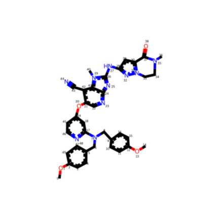 COc1ccc(CN(Cc2ccc(OC)cc2)c2cc(Oc3cnc4nc(Nc5cc6n(n5)CCN(C)C6=O)n(C)c4c3C#N)ccn2)cc1